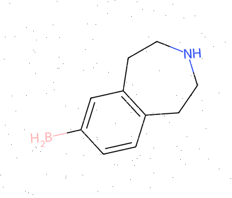 Bc1ccc2c(c1)CCNCC2